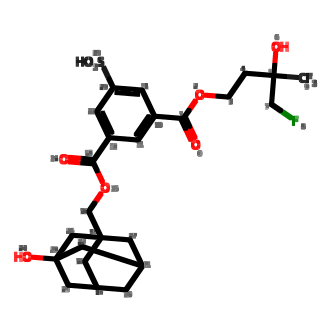 O=C(OCCC(O)(CF)C(F)(F)F)c1cc(C(=O)OCC23CC4CC(CC(O)(C4)C2)C3)cc(S(=O)(=O)O)c1